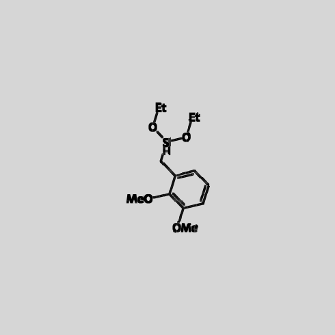 CCO[SiH](Cc1cccc(OC)c1OC)OCC